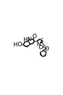 O=c1[nH]c2cc(O)ccc2cc1-c1csc(CS(=O)(=O)c2ccccc2)n1